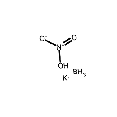 B.O=[N+]([O-])O.[K]